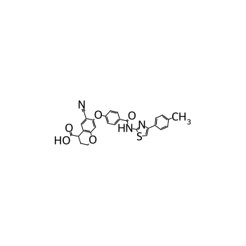 Cc1ccc(-c2csc(NC(=O)c3ccc(Oc4cc5c(cc4C#N)C(C(=O)O)CCO5)cc3)n2)cc1